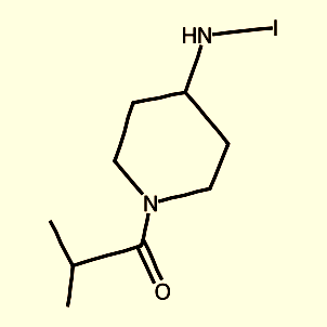 CC(C)C(=O)N1CCC(NI)CC1